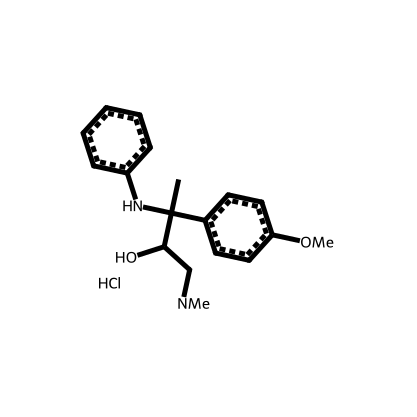 CNCC(O)C(C)(Nc1ccccc1)c1ccc(OC)cc1.Cl